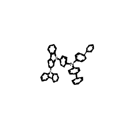 c1ccc(-c2ccc(N(c3ccc(-c4ccccc4)cc3)c3ccc(-n4c5ccccc5c5ccc(-n6c7ccccc7c7ccccc76)cc54)cc3)cc2)cc1